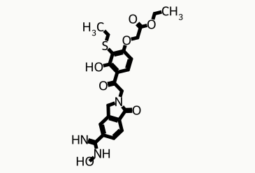 CCOC(=O)COc1ccc(C(=O)CN2Cc3cc(C(=N)NO)ccc3C2=O)c(O)c1SCC